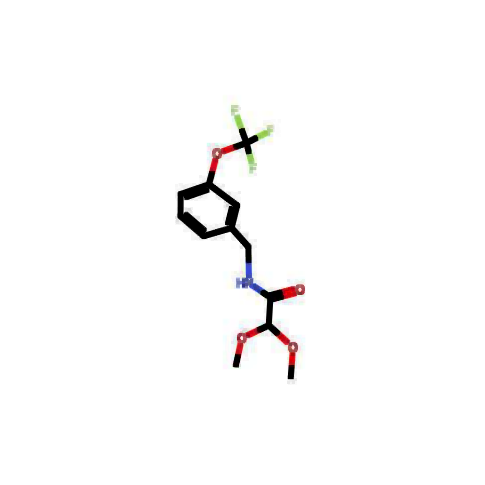 COC(OC)C(=O)NCc1cccc(OC(F)(F)F)c1